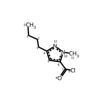 CCCCc1cc(C(=O)Cl)n(C)n1